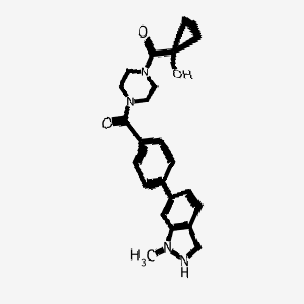 CN1NCc2ccc(-c3ccc(C(=O)N4CCN(C(=O)C5(O)CC5)CC4)cc3)cc21